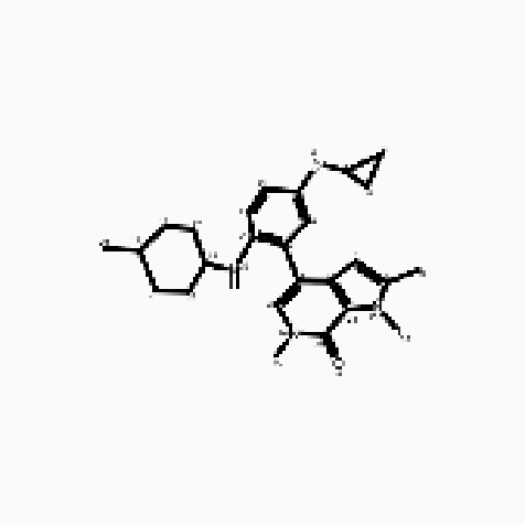 Cc1cc2c(-c3cc(SC4CC4)ccc3NC3CCC(C)CC3)cn(C)c(=O)c2n1I